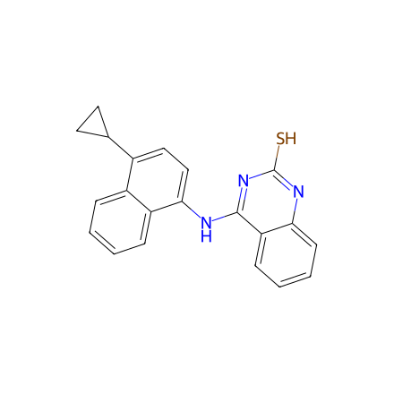 Sc1nc(Nc2ccc(C3CC3)c3ccccc23)c2ccccc2n1